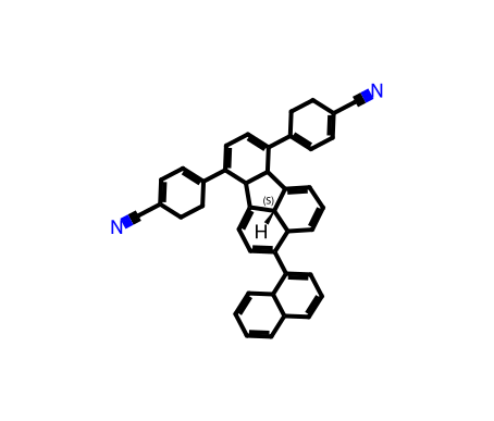 N#CC1=CC=C(C2=CC=C(C3=CC=C(C#N)CC3)C3C4=CC=C(C5=CC=CC6C=CC=CC56)C5C=CC=C(C23)[C@@H]45)CC1